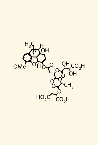 COc1ccc2c3c1O[C@@H]1C(OC(=O)C[C@H](OC(=O)[C@H](O)[C@@H](O)C(=O)O)C(=O)O[C@@H](C)C(=O)O[C@@H](CC(=O)O)C(=O)O)=CC[C@]4(O)[C@H](C2)N(C)CC[C@@]314